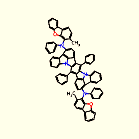 Cc1ccc2c(oc3ccccc32)c1N(c1ccccc1)c1ccc2c3c(-c4ccccc4)c4c(c(-c5ccccc5)c3n3c5ccccc5c1c23)c1ccc(N(c2ccccc2)c2c(C)ccc3c2oc2ccccc23)c2c3ccccc3n4c12